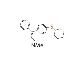 CNCC=C(c1ccccc1)c1ccc(SC2CCCCC2)cc1